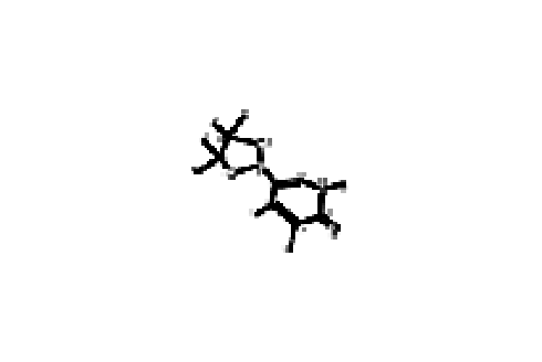 Cc1c(B2OC(C)(C)C(C)(C)O2)cn(C)c(=O)c1C